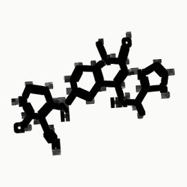 CC(Nc1cc(=O)n(C)c2ccc(Nc3ccnc(Cl)c3C#N)cc12)c1nccs1